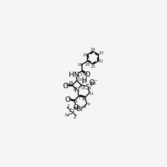 C[Si](C)(C)OC(=O)C1=C(CBr)C[S+]([O-])[C@@H]2C(NC(=O)Cc3ccccc3)C(=O)N12